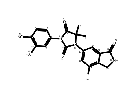 CC1(C)C(=O)N(c2ccc(C#N)c(C(F)(F)F)c2)C(=S)N1c1cc(F)c2c(c1)C(=O)NC2